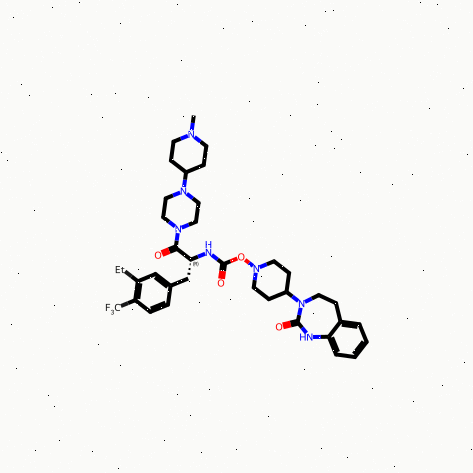 CCc1cc(C[C@@H](NC(=O)ON2CCC(N3CCc4ccccc4NC3=O)CC2)C(=O)N2CCN(C3CCN(C)CC3)CC2)ccc1C(F)(F)F